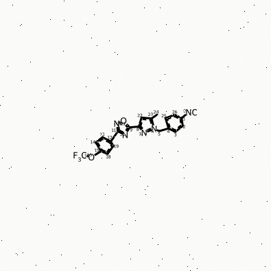 [C-]#[N+]c1ccc(Cn2nc(-c3nc(-c4ccc(OC(F)(F)F)cc4)no3)cc2C)cc1